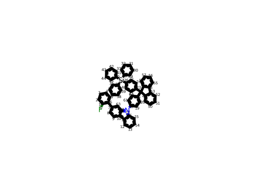 Fc1ccccc1-c1ccc2c3ccccc3n(-c3ccc(C4(c5ccc([Si](c6ccccc6)(c6ccccc6)c6ccccc6)cc5)c5ccccc5-c5ccccc54)cc3)c2c1